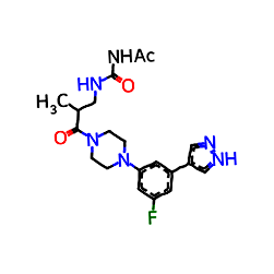 CC(=O)NC(=O)NCC(C)C(=O)N1CCN(c2cc(F)cc(-c3cn[nH]c3)c2)CC1